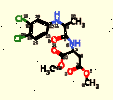 COC(=O)C[C@H](NC(=O)C(C)Nc1ccc(Cl)c(Cl)c1)C(=O)OC